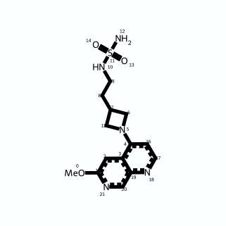 COc1cc2c(N3CC(CCNS(N)(=O)=O)C3)ccnc2cn1